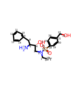 CC(C)CN(C[C@@H](O)C(N)Cc1ccccc1)S(=O)(=O)c1ccc(CO)cc1